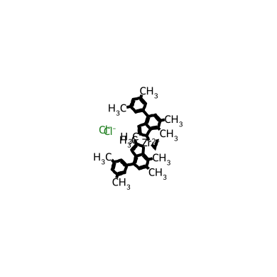 CC1=Cc2c(-c3cc(C)cc(C)c3)cc(C)c(C)c2[CH]1[Zr+2]1([CH]2C(C)=Cc3c(-c4cc(C)cc(C)c4)cc(C)c(C)c32)[CH2][CH2]1.[Cl-].[Cl-]